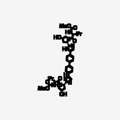 COC(=O)N[C@H](C(=O)N1C[C@@H](O)C[C@H]1c1ncc(-c2ccc(-c3ccc(-c4cnc([C@@H]5C[C@H](O)CN5C(=O)[C@@H](NC(=O)OC)C(C)C)[nH]4)cc3)cc2)[nH]1)C(C)C